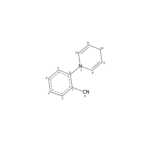 N#Cc1ccccc1N1C=CCC=C1